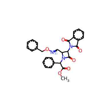 COC(=O)C(c1ccccc1)N1C(=O)C(N2C(=O)c3ccccc3C2=O)C1/C=N/OCc1ccccc1